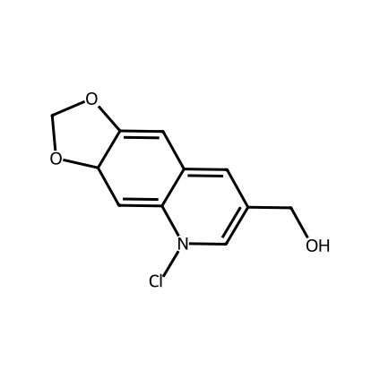 OCC1=CN(Cl)C2=CC3OCOC3=CC2=C1